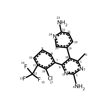 Cc1nc(N)nc(-c2cccc(C(F)(F)F)c2Cl)c1-c1ccc(N)nc1